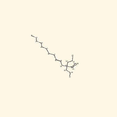 CCCCCCCCCCCC(CCC)(CCC)N=O